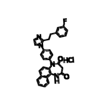 Cl.O=C1CC(=O)N(c2ccc(-n3ccnc3CCc3cccc(F)c3)cc2)c2ccc3ccccc3c2N1